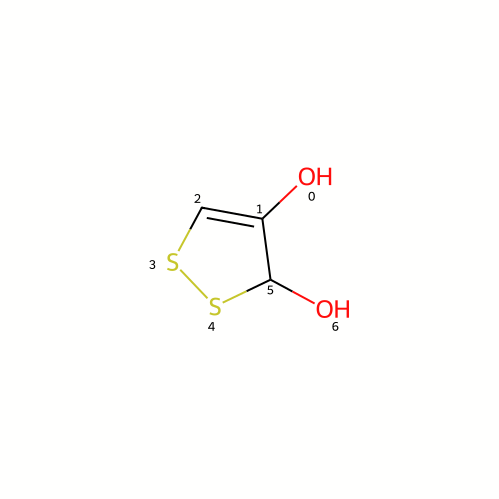 OC1=CSSC1O